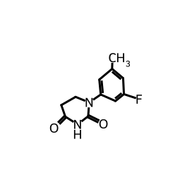 Cc1cc(F)cc(N2CCC(=O)NC2=O)c1